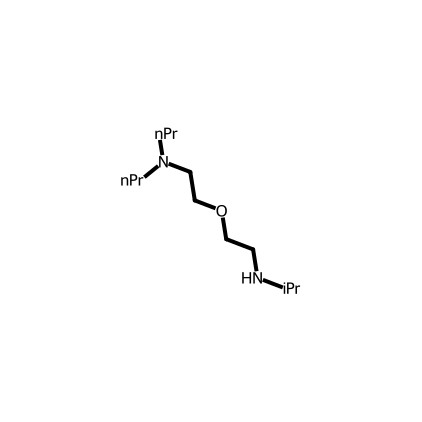 CCCN(CCC)CCOCCNC(C)C